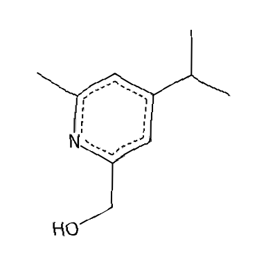 Cc1cc(C(C)C)cc(CO)n1